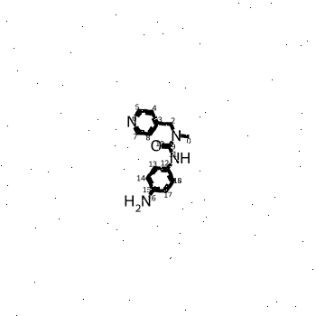 CN(Cc1ccncc1)C(=O)Nc1ccc(N)cc1